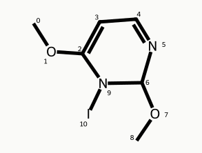 COC1=CC=NC(OC)N1I